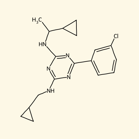 CC(Nc1nc(NCC2CC2)nc(-c2cccc(Cl)c2)n1)C1CC1